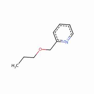 CCCOCc1ccccn1